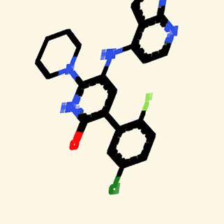 O=c1[nH]c(N2CCCCC2)c(Nc2ccnc3[nH]ccc23)cc1-c1cc(Cl)ccc1F